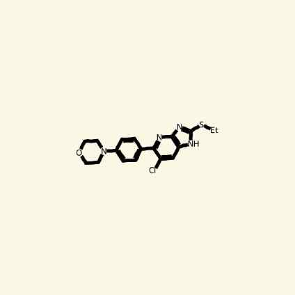 CCSc1nc2nc(-c3ccc(N4CCOCC4)cc3)c(Cl)cc2[nH]1